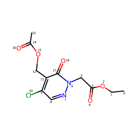 CCOC(=O)Cn1ncc(Cl)c(COC(C)=O)c1=O